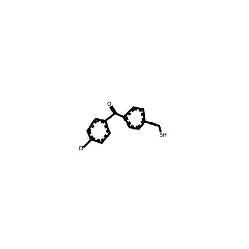 O=C(c1ccc(Cl)cc1)c1ccc(CS)cc1